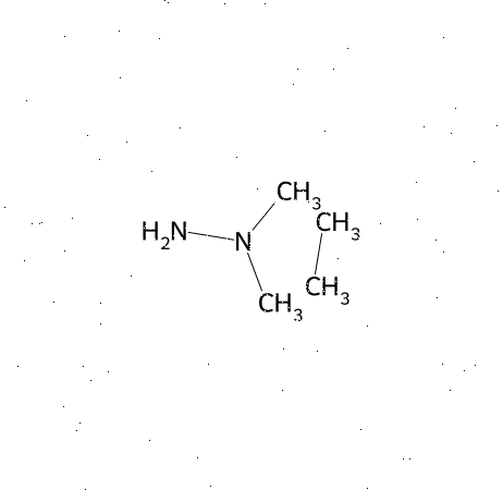 CC.CN(C)N